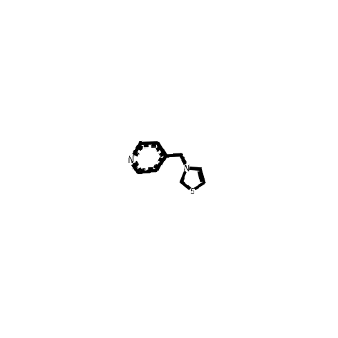 C1=CN(Cc2ccncc2)CS1